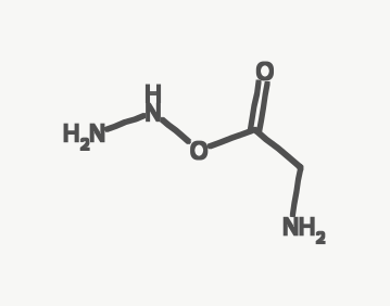 NCC(=O)ONN